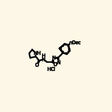 CCCCCCCCCCc1ccc(-c2noc(CNC(=O)C3CCCN3)n2)cc1.Cl